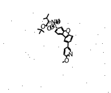 COc1ccc(-c2ccc3oc4cc(S(=O)(=O)N[C@H](C(=O)OC(C)(C)C)C(C)C)ccc4c3c2)cn1